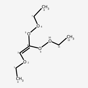 CCOC=C(OOCC)OOCC